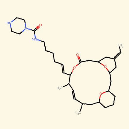 C/C=C1\CC2CC(=O)OC(/C=C/CCCCNC(=O)N3CCNCC3)C(C)/C=C/C(C)CC3CCCC(CC(C1)O2)O3